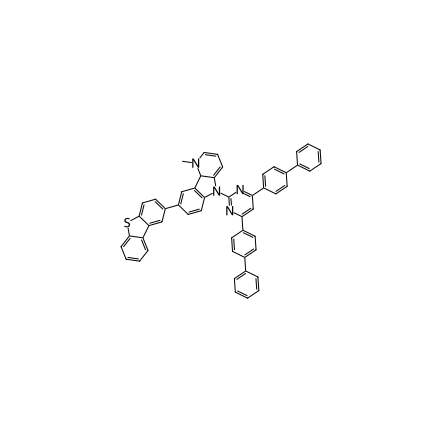 CN1C=CC=C2C1c1cc(-c3ccc4sc5ccccc5c4c3)ccc1N2c1nc(-c2ccc(-c3ccccc3)cc2)cc(-c2ccc(-c3ccccc3)cc2)n1